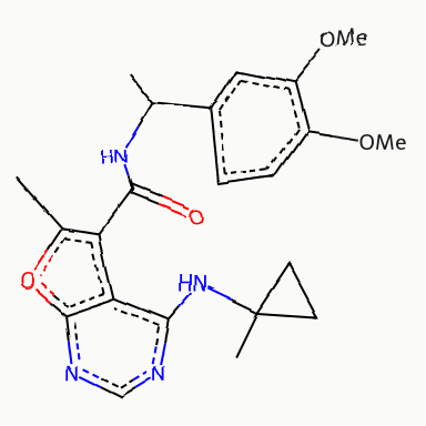 COc1ccc(C(C)NC(=O)c2c(C)oc3ncnc(NC4(C)CC4)c23)cc1OC